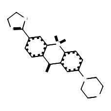 O=C1c2cc(N3CCOCC3)ccc2S(=O)(=O)c2cc(C3=NCCN3)ccc21